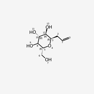 C=CC[C@H]1O[C@H](CO)C(O)[C@H](O)[C@H]1O